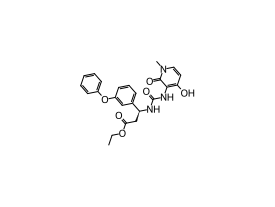 CCOC(=O)C[C@H](NC(=O)Nc1c(O)ccn(C)c1=O)c1cccc(Oc2ccccc2)c1